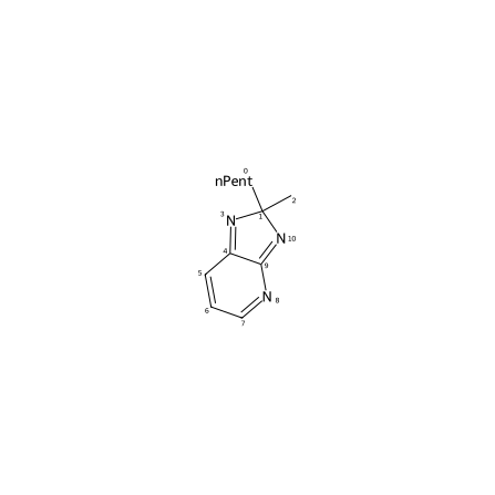 CCCCCC1(C)N=c2cccnc2=N1